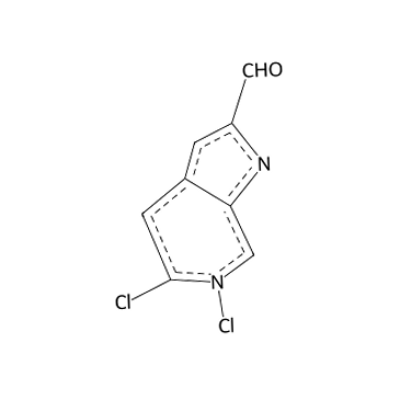 O=Cc1cc2cc(Cl)n(Cl)cc-2n1